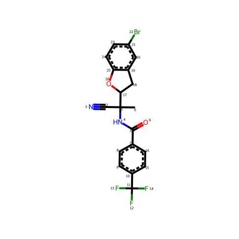 CC(C#N)(NC(=O)c1ccc(C(F)(F)F)cc1)C1Cc2cc(Br)ccc2O1